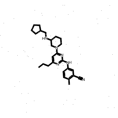 CCCc1cc(N2CCCC(NCC3CCCC3)C2)nc(Nc2ccc(C)c(C#N)c2)n1